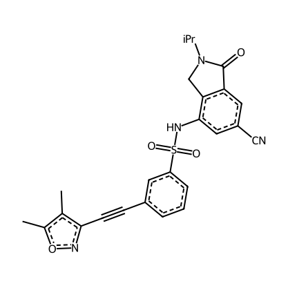 Cc1onc(C#Cc2cccc(S(=O)(=O)Nc3cc(C#N)cc4c3CN(C(C)C)C4=O)c2)c1C